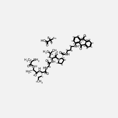 CCC[C@H](NC(=O)[C@H](C)NC(=O)[C@H](C)N)C(=O)NCC(=O)N[C@@H](CC(C)C)C(=O)N1CCC[C@H]1C(=O)NCCCNc1cccc2c1C(=O)c1ccccc1C2=O.O=C(O)C(F)(F)F